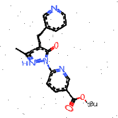 Cc1[nH]n(-c2ccc(C(=O)OC(C)(C)C)cn2)c(=O)c1Cc1cccnc1